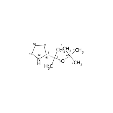 CC(C)(O[Si](C)(C)C)[C@H]1CCCN1